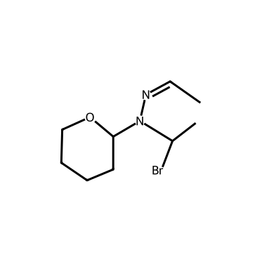 C/C=N\N(C(C)Br)C1CCCCO1